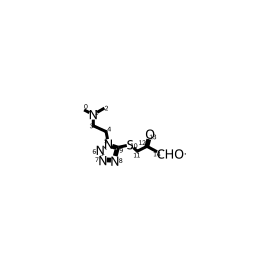 CN(C)CCn1nnnc1SCC(=O)[C]=O